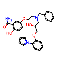 NC(=O)c1cc(OCCN(Cc2ccccc2)CC(O)COc2ccccc2-n2cccc2)ccc1O